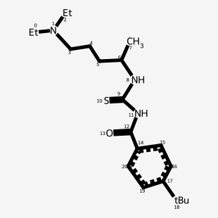 CCN(CC)CCCC(C)NC(=S)NC(=O)c1ccc(C(C)(C)C)cc1